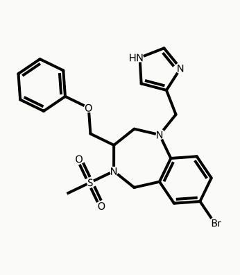 CS(=O)(=O)N1Cc2cc(Br)ccc2N(Cc2c[nH]cn2)CC1COc1ccccc1